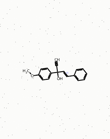 C#CC(O)(/C=C/c1ccccc1)c1ccc(OC)cc1